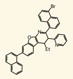 CCC1c2c(oc3cc(-c4cccc5ccccc45)ccc23)N=C(c2cccc3c(Br)cccc23)C1c1ccccn1